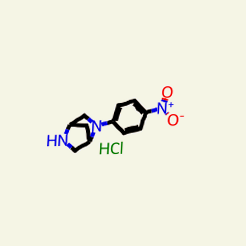 Cl.O=[N+]([O-])c1ccc(N2CC3CC2CN3)cc1